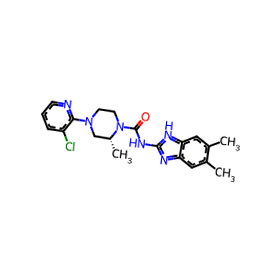 Cc1cc2nc(NC(=O)N3CCN(c4ncccc4Cl)C[C@H]3C)[nH]c2cc1C